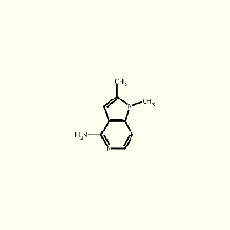 Cc1cc2c(N)nccc2n1C